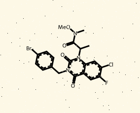 CON(C)C(=O)C(C)n1c(=O)n(Cc2ccc(Br)cc2)c(=O)c2cc(F)c(Cl)cc21